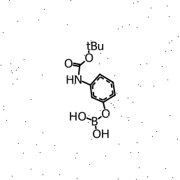 CC(C)(C)OC(=O)Nc1cccc(OB(O)O)c1